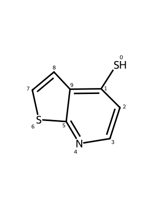 Sc1ccnc2sccc12